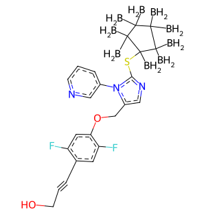 BC1(B)C(B)(B)C(B)(B)C(B)(Sc2ncc(COc3cc(F)c(C#CCO)cc3F)n2-c2cccnc2)C1(B)B